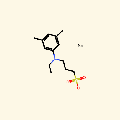 CCN(CCCS(=O)(=O)O)c1cc(C)cc(C)c1.[Na]